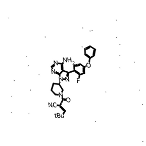 CC(C)(C)/C=C(\C#N)C(=O)N1CCC[C@@H](n2nc(-c3ccc(Oc4ccccc4)cc3F)c3c(N)ncnc32)C1